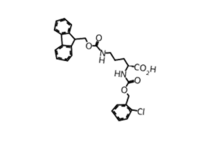 O=C(NCCC[C@H](NC(=O)OCc1ccccc1Cl)C(=O)O)OCC1c2ccccc2-c2ccccc21